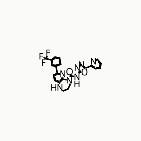 O=C(Nc1nnc(-c2ccccn2)o1)N1CCCNc2ccc(-c3cccc(C(F)(F)F)c3)nc21